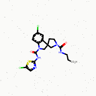 O=C(O)CCNC(=O)N1CCC2(C1)CN(C(=O)Nc1ncc(Cl)s1)c1ccc(Cl)cc12